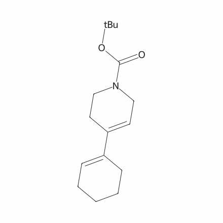 CC(C)(C)OC(=O)N1CC=C(C2=CCCCC2)CC1